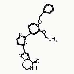 CCOc1cc(-c2nccc(-c3cc4n(n3)CCNC4=O)n2)ccc1OCc1ccccc1